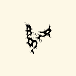 CC(=O)N1CC[C@@H](NC(=O)[C@@H](N)Cc2c(C)cc(C)cc2C)c2cc(CN3CCc4ccc(F)cc4C3)ccc21